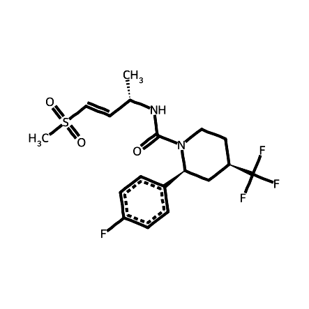 C[C@@H](/C=C/S(C)(=O)=O)NC(=O)N1CC[C@@H](C(F)(F)F)C[C@H]1c1ccc(F)cc1